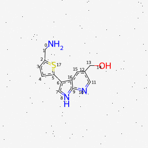 NCc1ccc(-c2c[nH]c3ncc(CO)cc23)s1